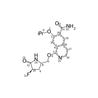 CC(C)Oc1cc2c(OCC3C[C@@H](F)C(=O)N3)nccc2cc1C(N)=O